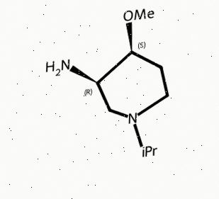 CO[C@H]1CCN(C(C)C)C[C@H]1N